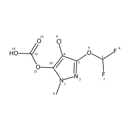 Cn1nc(OC(F)F)c(Cl)c1OC(=O)O